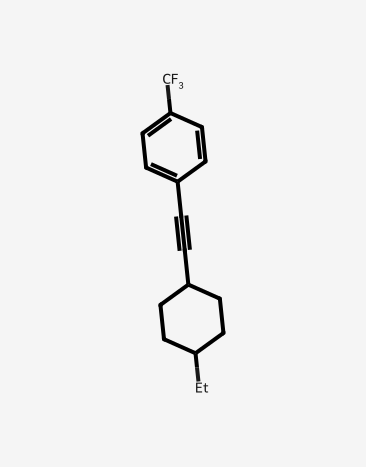 CCC1CCC(C#Cc2ccc(C(F)(F)F)cc2)CC1